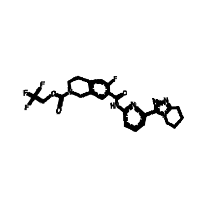 O=C(Nc1cccc(-c2nnc3n2CCCC3)n1)c1cc2c(cc1F)CCN(C(=O)OCC(F)(F)F)C2